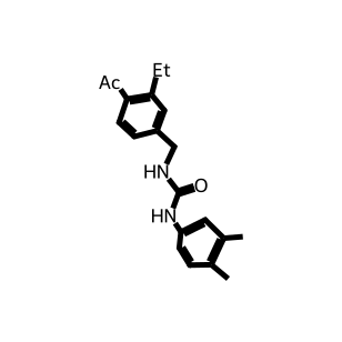 CCc1cc(CNC(=O)Nc2ccc(C)c(C)c2)ccc1C(C)=O